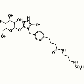 CC(C)c1[nH]nc(OC2OC(CO)C(F)C(O)C2O)c1Cc1ccc(CCCC(=O)NCCCNS(=O)(=O)O)cc1